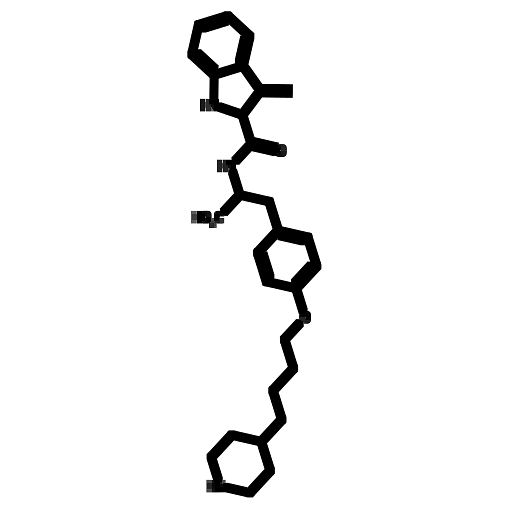 C=C1c2ccccc2NC1C(=O)NC(Cc1ccc(OCCCCC2CCNCC2)cc1)C(=O)O